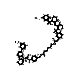 CC1(C)C2=C3C=C4C5=[N+](CCC4OC3CCN2c2ccc(CC(=O)NCCCCCC(=O)NCc3ccc(NC(O)N4c6nc(-c7cccc(C(F)(F)F)c7)ccc6N6CCC[C@H]4C6)cc3)cc21)c1ccc(S(=O)(=O)O)cc1C5(C)C